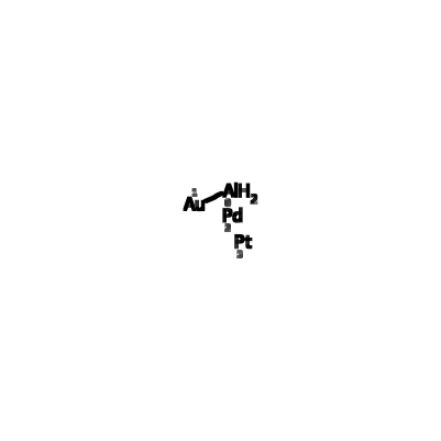 [AlH2][Au].[Pd].[Pt]